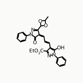 CCOC(=O)c1nn(-c2ccccc2)c(O)c1/C=C/C=C1\C(=O)N(c2ccccc2)N=C1C1OC(C)O1